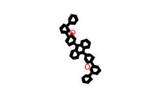 c1ccc(-c2cccc3c2oc2cc(-c4c5ccccc5c(-c5ccc6c(c5)oc5c(-c7ccccc7)cccc56)c5ccccc45)ccc23)cc1